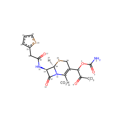 NC(=O)OC(C(=O)C(Cl)(Cl)Cl)C1=C(C(=O)O)N2C(=O)[C@@H](NC(=O)Cc3cccs3)[C@H]2SC1